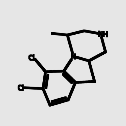 CC1CNCC2Cc3ccc(Cl)c(Cl)c3N12